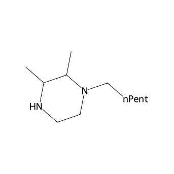 CCCCCCN1CCNC(C)C1C